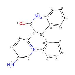 NC(=O)C(c1ccc(N)cn1)C(c1ccccc1)c1ccccc1